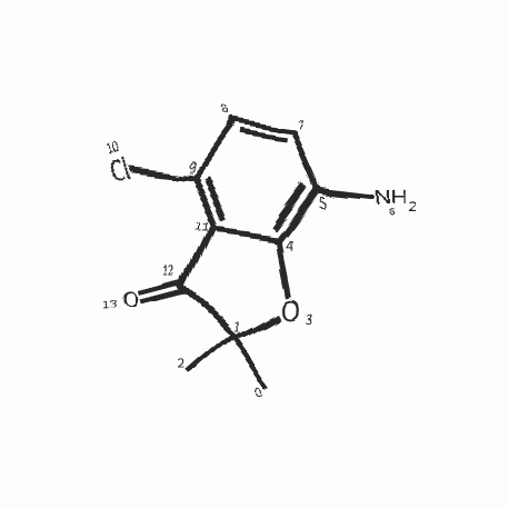 CC1(C)Oc2c(N)ccc(Cl)c2C1=O